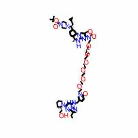 CCc1cnn2c(NCc3ccc(=O)n(CCOCCOCCOCCOCCOCCOCCN4C(=O)OCc5cnc(N[C@@H](C)c6ccc([C@H](CC7CC7)N7CCN(C(=O)OC(C)(C)C)CC7)cc6)nc54)c3)cc(N3CCCC[C@H]3CCO)nc12